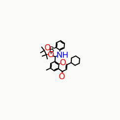 Cc1cc(C(C)Nc2ccccc2B2OC(C)(C)C(C)(C)O2)c2oc(C3CCCCC3)cc(=O)c2c1